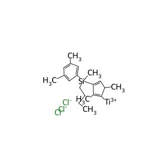 CCCC[Si](C)(C1=CC(C)[C]([Ti+3])=C1C)c1cc(C)cc(C)c1.[Cl-].[Cl-].[Cl-]